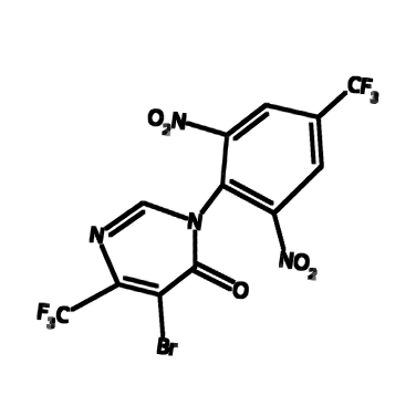 O=c1c(Br)c(C(F)(F)F)ncn1-c1c([N+](=O)[O-])cc(C(F)(F)F)cc1[N+](=O)[O-]